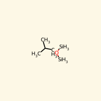 CC(C)C.[SiH3]O[SiH3]